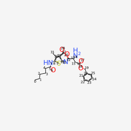 CCCCCC(=O)Nc1sc2nc(C(N)CC(=O)OCc3ccccc3)oc(=O)c2c1C